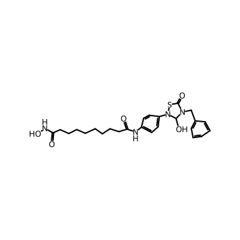 O=C(CCCCCCCCC(=O)Nc1ccc(N2SC(=O)N(Cc3ccccc3)C2O)cc1)NO